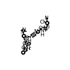 Cc1ncsc1-c1ccc(CNC(=O)[C@@H]2CCCN2C(=O)[C@H](C(C)C)N2Cc3ccccc3C2=O)c(OCCN2CCN(c3ccc(C(=O)NC4C(C)(C)C(Oc5ccc(C#N)c(Cl)c5)C4(C)C)cn3)CC2)c1